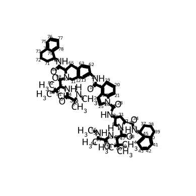 CN[C@@H](C)C(=O)NC(C(=O)N1Cc2cc(NC(=O)c3cccc4c3ccn4C(=O)NC3C[C@@H](C(=O)N[C@@H]4CCCc5ccccc54)N(C(=O)[C@@H](NC(=O)[C@H](C)NC)C(C)(C)C)C3)ccc2CC1C(=O)NC1CCCc2ccccc21)C(C)(C)C